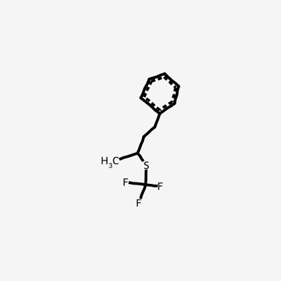 CC(CCc1ccccc1)SC(F)(F)F